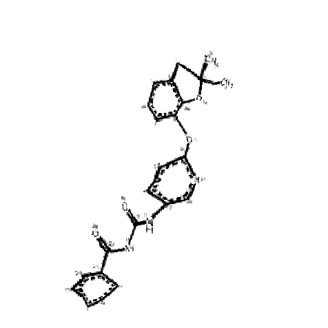 CC1(C)Cc2cccc(Oc3ccc(NC(=O)NC(=O)c4ccccc4)cn3)c2O1